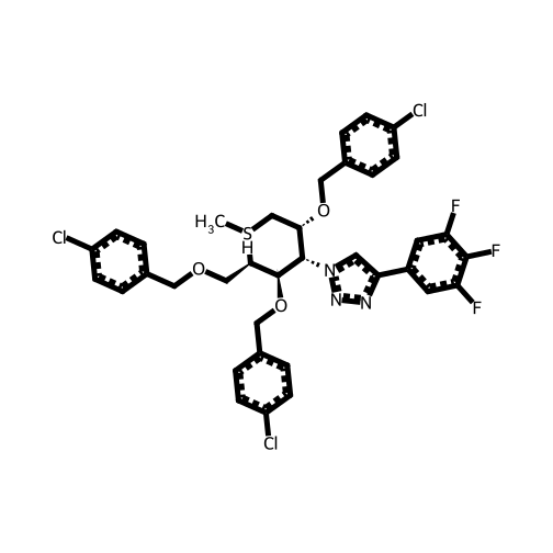 C[SH]1C[C@H](OCc2ccc(Cl)cc2)[C@H](n2cc(-c3cc(F)c(F)c(F)c3)nn2)[C@@H](OCc2ccc(Cl)cc2)[C@H]1COCc1ccc(Cl)cc1